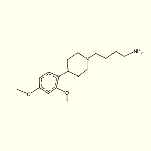 COc1ccc(C2CCN(CCCCN)CC2)c(OC)c1